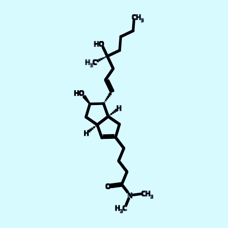 CCCC[C@](C)(O)C/C=C/[C@@H]1[C@H]2CC(CCCC(=O)N(C)C)=C[C@H]2C[C@H]1O